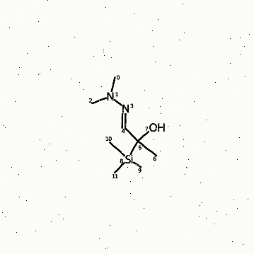 CN(C)N=CC(C)(O)[Si](C)(C)C